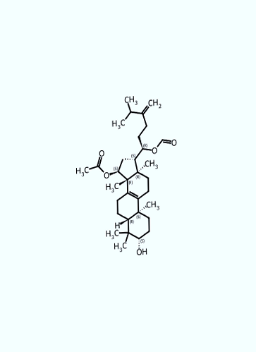 C=C(CC[C@@H](OC=O)[C@H]1C[C@H](OC(C)=O)[C@@]2(C)C3=C(CC[C@]12C)[C@@]1(C)CC[C@H](O)C(C)(C)[C@@H]1CC3)C(C)C